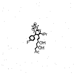 CC(=O)C[C@H](O)C[C@@H](O)/C=C/c1c(-c2ccc(F)cc2)nc(N(C)S(C)(=O)=O)nc1C(C)C